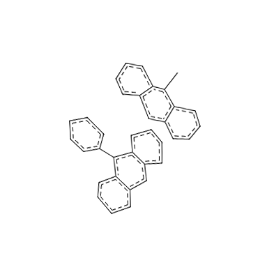 Cc1c2ccccc2cc2ccccc12.c1ccc(-c2c3ccccc3cc3ccccc23)cc1